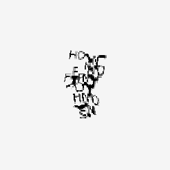 CCn1c(CO)nn(-c2nc(O[C@@H](C)C(F)(F)F)c(C(=O)Nc3ncsc3C)cc2F)c1=O